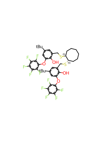 CC(C)(C)c1cc(CS[C@H]2CCCCCC[C@@H]2SCc2cc(C(C)(C)C)cc(Oc3c(F)c(F)c(F)c(F)c3F)c2O)c(O)c(Oc2c(F)c(F)c(F)c(F)c2F)c1